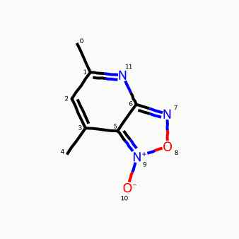 Cc1cc(C)c2c(no[n+]2[O-])n1